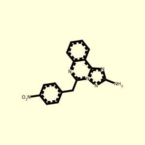 Nc1nc2c3ccccc3nc(Cc3ccc([N+](=O)[O-])cc3)n2n1